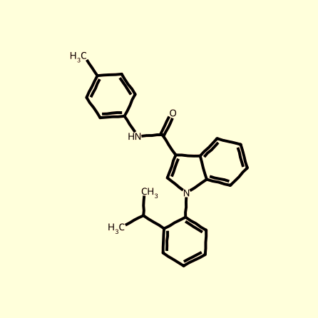 Cc1ccc(NC(=O)c2cn(-c3ccccc3C(C)C)c3ccccc23)cc1